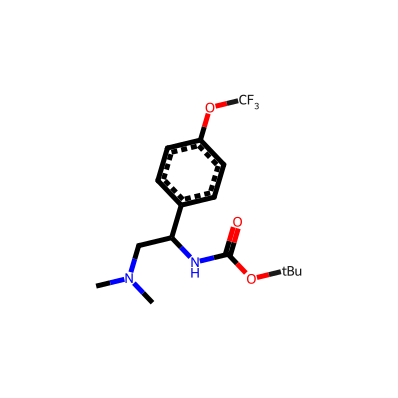 CN(C)CC(NC(=O)OC(C)(C)C)c1ccc(OC(F)(F)F)cc1